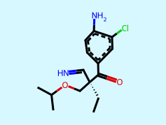 CC[C@@](C=N)(COC(C)C)C(=O)c1ccc(N)c(Cl)c1